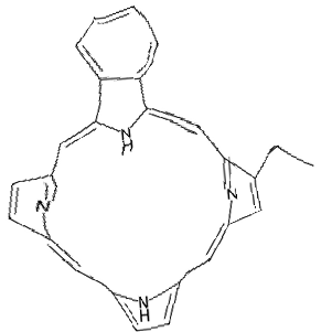 CCC1=Cc2cc3ccc(cc4nc(cc5[nH]c(cc1n2)c1ccccc51)C=C4)[nH]3